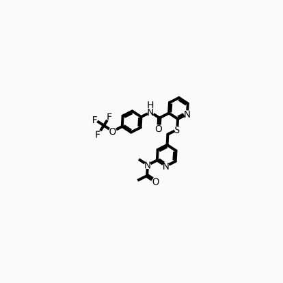 CC(=O)N(C)c1cc(CSc2ncccc2C(=O)Nc2ccc(OC(F)(F)F)cc2)ccn1